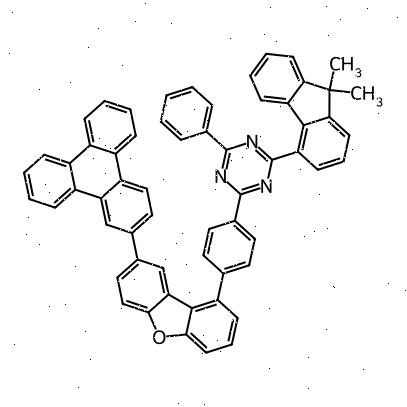 CC1(C)c2ccccc2-c2c(-c3nc(-c4ccccc4)nc(-c4ccc(-c5cccc6oc7ccc(-c8ccc9c%10ccccc%10c%10ccccc%10c9c8)cc7c56)cc4)n3)cccc21